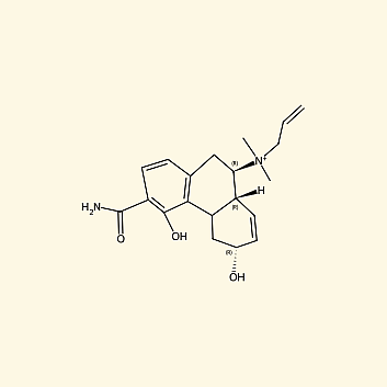 C=CC[N+](C)(C)[C@@H]1Cc2ccc(C(N)=O)c(O)c2C2C[C@@H](O)C=C[C@H]21